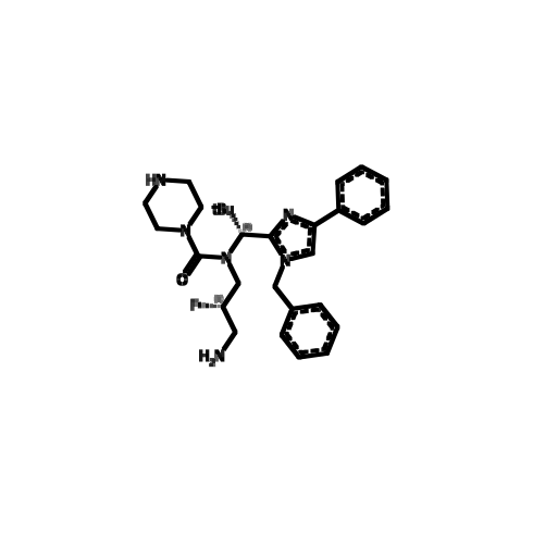 CC(C)(C)[C@H](c1nc(-c2ccccc2)cn1Cc1ccccc1)N(C[C@@H](F)CN)C(=O)N1CCNCC1